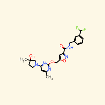 Cc1cc(N2CCC(C)(O)C2)nc(OCc2cc(C(=O)NCc3cccc(C(F)F)c3)no2)n1